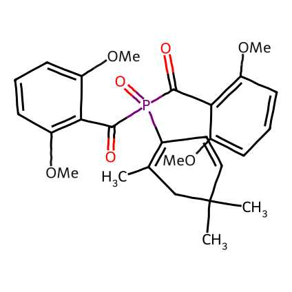 COc1cccc(OC)c1C(=O)P(=O)(C(=O)c1c(OC)cccc1OC)C1=C(C)CC(C)(C)C=C1